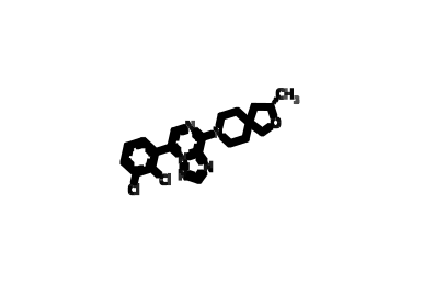 C[C@H]1CC2(CCN(c3ncc(-c4cccc(Cl)c4Cl)n4ncnc34)CC2)CO1